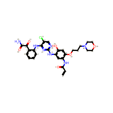 C=CC(=O)Nc1cc(Nc2ncc(Cl)c(Nc3ccccc3C(=O)C(N)=O)n2)c(O)cc1OCCCN1CCOCC1